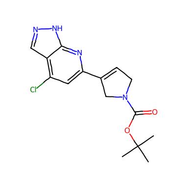 CC(C)(C)OC(=O)N1CC=C(c2cc(Cl)c3cn[nH]c3n2)C1